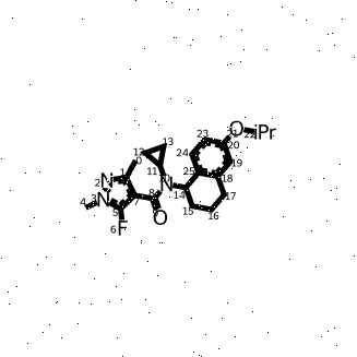 Cc1nn(C)c(F)c1C(=O)N(C1CC1)C1CCCc2cc(OC(C)C)ccc21